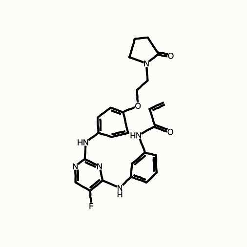 C=CC(=O)Nc1cccc(Nc2nc(Nc3ccc(OCCN4CCCC4=O)cc3)ncc2F)c1